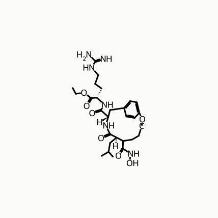 CCOC(=O)[C@H](CCCNC(=N)N)NC(=O)[C@@H]1Cc2ccc(cc2)OCCCC(C(=O)NO)[C@@H](CC(C)C)C(=O)N1